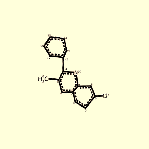 Cc1cc2ccc(Cl)cc2nc1-c1ccccc1